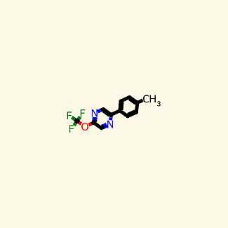 Cc1ccc(-c2cnc(OC(F)(F)F)cn2)cc1